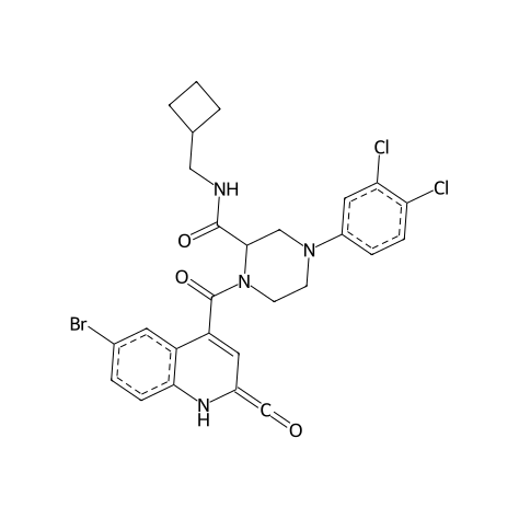 O=C=C1C=C(C(=O)N2CCN(c3ccc(Cl)c(Cl)c3)CC2C(=O)NCC2CCC2)c2cc(Br)ccc2N1